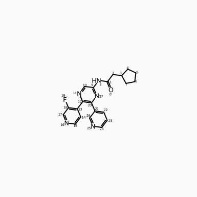 O=C(CC1CCCC1)Nc1cnc(-c2ccncc2F)c(-c2cccnc2)n1